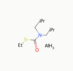 CCSC(=O)N(CC(C)C)CC(C)C.[AlH3]